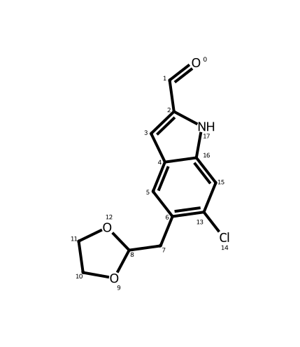 O=Cc1cc2cc(CC3OCCO3)c(Cl)cc2[nH]1